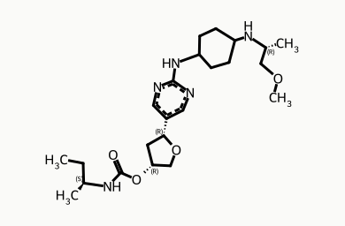 CC[C@H](C)NC(=O)O[C@H]1CO[C@@H](c2cnc(NC3CCC(N[C@H](C)COC)CC3)nc2)C1